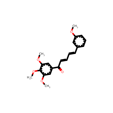 COc1cccc(/C=C/C=C/C(=O)c2cc(OC)c(OC)c(OC)c2)c1